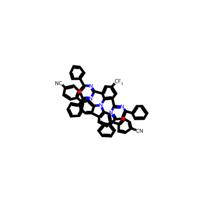 N#Cc1ccc(-c2ccc3c4ccc(-c5ccc(C#N)cc5)cc4n(-c4c(-c5nc(-c6ccccc6)cc(-c6ccccc6)n5)cc(C(F)(F)F)cc4-c4nc(-c5ccccc5)cc(-c5ccccc5)n4)c3c2)cc1